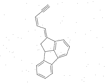 C#C/C=C\C=C1/CC2c3ccccc3-c3cccc1c32